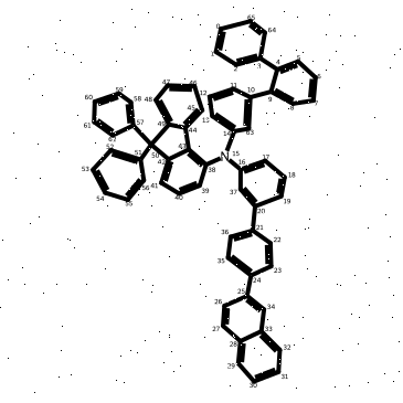 c1ccc(-c2ccccc2-c2cccc(N(c3cccc(-c4ccc(-c5ccc6ccccc6c5)cc4)c3)c3cccc4c3-c3ccccc3C4(c3ccccc3)c3ccccc3)c2)cc1